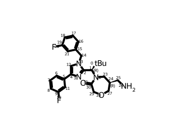 CC(C)(C)[C@H](c1nc(-c2cccc(F)c2)cn1Cc1cccc(F)c1)N1C[C@@H](CN)COCC1=O